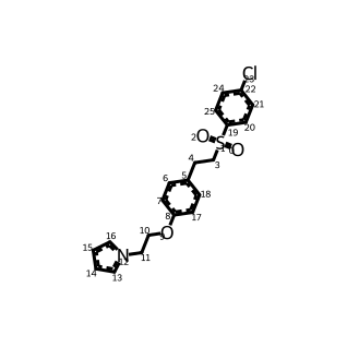 O=S(=O)(CCc1ccc(OCCn2cccc2)cc1)c1ccc(Cl)cc1